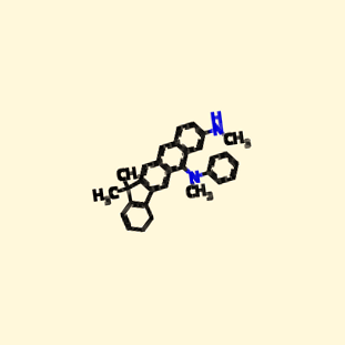 CNc1ccc2cc3cc4c(cc3c(N(C)c3ccccc3)c2c1)C1=C(C=CCC1)C4(C)C